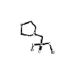 CCOP(=O)(CN1CC[N]CC1)OCC